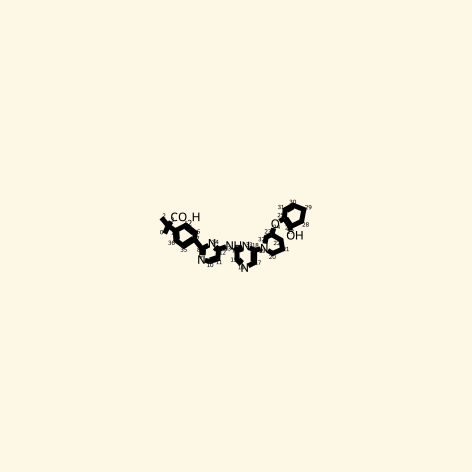 CC(C)(C(=O)O)c1ccc(-c2nccc(Nc3cncc(N4CCCC(OC5=C(O)CCC=C5)C4)n3)n2)cc1